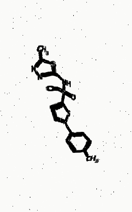 Cc1ccc(-c2ccc(S(=O)(=O)Nc3nnc(C)s3)s2)cc1